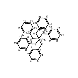 CS(Cc1ccccc1)(Cc1ccccc1)(Cc1ccccc1)(Cc1ccccc1)Cc1ccccc1